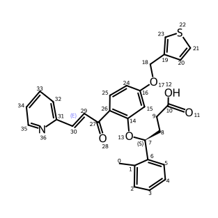 Cc1ccccc1[C@H](CCC(=O)O)Oc1cc(OCc2ccsc2)ccc1C(=O)/C=C/c1ccccn1